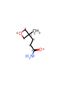 CC1(CCC(N)=O)COC1